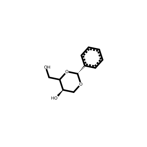 OCC1O[C@H](c2ccccc2)OC[C@H]1O